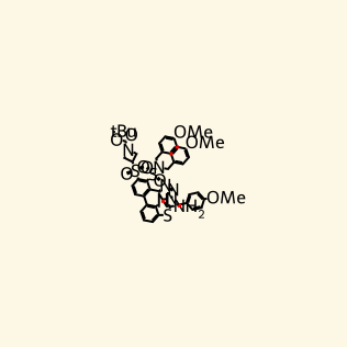 COc1ccc(CN(Cc2ccc(OC)cc2)S(=O)(=O)c2c(S(=O)(=O)C3CN(C(=O)OC(C)(C)C)C3)ccc(-c3cccc4sc(N)nc34)c2-c2nnn(Cc3ccc(OC)cc3)n2)cc1